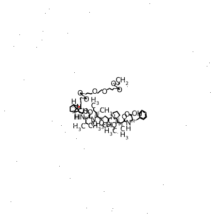 C=CS(=O)(=O)CCOCCOCCS(=O)(=O)CCN1C(C(=O)N[C@H](C(=O)N(C)[C@@H]([C@@H](C)CC)[C@@H](CC(=O)N2CCC[C@H]2[C@H](OC)[C@@H](C)C(=O)N[C@@H](Cc2ccccc2)C(=O)O)OC)C(C)C)[C@H]2CC[C@H]1[C@H]2C